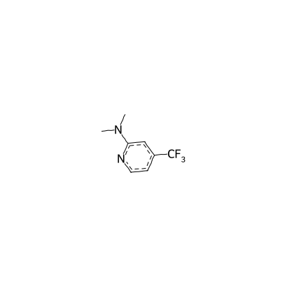 CN(C)c1cc(C(F)(F)F)ccn1